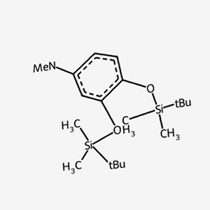 CNc1ccc(O[Si](C)(C)C(C)(C)C)c(O[Si](C)(C)C(C)(C)C)c1